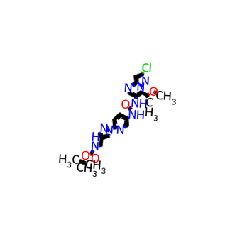 COC(C)c1c(NC(=O)Nc2ccc(-n3cc(CNC(=O)OC(C)(C)C)cn3)nc2)cnc2cc(Cl)nn12